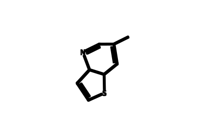 CC1=CC2SC=CC2N=C1